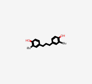 CCC(C)c1cc(CCCc2ccc(O)c(C(C)CC)c2)ccc1O